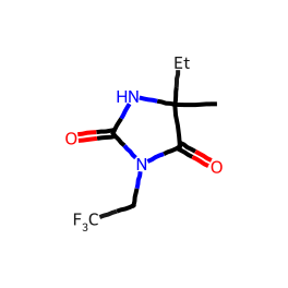 CCC1(C)NC(=O)N(CC(F)(F)F)C1=O